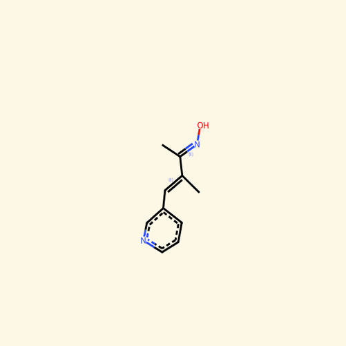 CC(=C\c1cccnc1)/C(C)=N/O